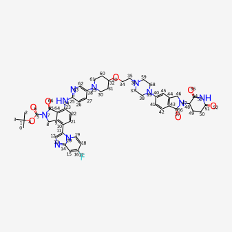 CC(C)(C)OC(=O)N1Cc2c(-c3cnc4cc(F)ccn34)ccc(Nc3ccc(N4CCC(OCCN5CCN(c6ccc7c(c6)CN(C6CCC(=O)NC6=O)C7=O)CC5)CC4)cn3)c2C1=O